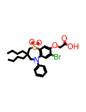 CCCCC1(CCCC)CN(c2ccccc2)c2cc(Br)c(OCC(=O)O)cc2S(=O)(=O)C1